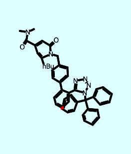 CCCCc1cc(C(=O)N(C)C)cc(=O)n1Cc1ccc(-c2ccccc2-c2nnnn2C(c2ccccc2)(c2ccccc2)c2ccccc2)cc1